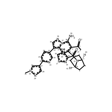 CC(=O)c1c([C@H]2C[C@H]3CC[C@@H](C2)N3C(=O)c2nnc[nH]2)nc2c(-c3ccc(-c4cnn(C)c4)nc3)cnn2c1N